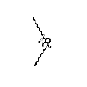 CCCCCCCCCCOC(=O)C1CCCC(C(=O)OCCCCCCCCCC)C1C(=O)O